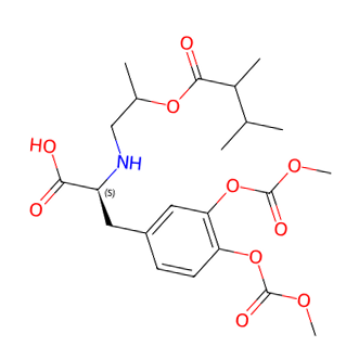 COC(=O)Oc1ccc(C[C@H](NCC(C)OC(=O)C(C)C(C)C)C(=O)O)cc1OC(=O)OC